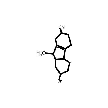 CC1C2=C(CCC(C#N)C2)C2CCC(Br)CC12